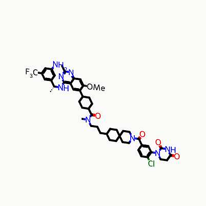 COc1cc2nc(C)nc(N[C@H](C)c3cc(N)cc(C(F)(F)F)c3)c2cc1C1CCC(C(=O)N(C)CCCC2CCC3(CC2)CCN(C(=O)c2ccc(Cl)c(N4CCC(=O)NC4=O)c2)CC3)CC1